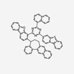 c1ccc2c(c1)-c1cc3ccccc3cc1CCC2c1ccc2c(oc3ccccc32)c1-c1nc(-c2ccc3c(c2)sc2ccccc23)nc(-c2cccc3ccccc23)n1